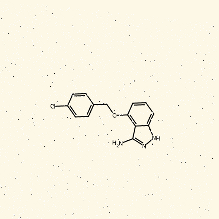 Nc1n[nH]c2cccc(OCc3ccc(Cl)cc3)c12